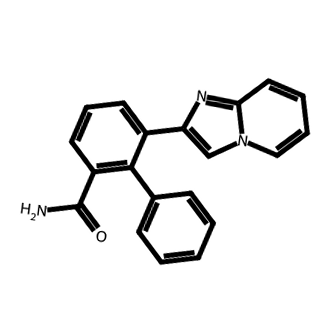 NC(=O)c1cccc(-c2cn3ccccc3n2)c1-c1ccccc1